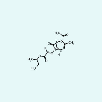 CCC(C)OC(=O)[C@@H](F)ON1C(=O)N2C[C@H]1C=C(C)[C@H]2C(N)=O